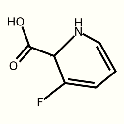 O=C(O)[C]1NC=CC=C1F